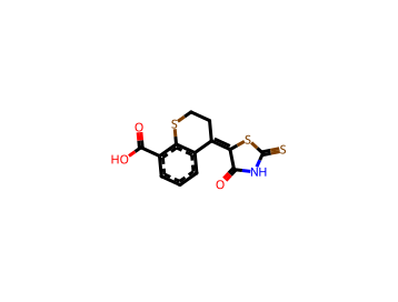 O=C1NC(=S)SC1=C1CCSc2c(C(=O)O)cccc21